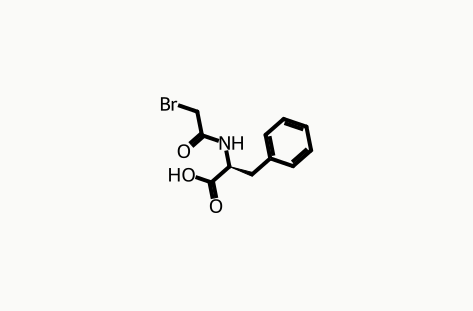 O=C(CBr)N[C@@H](Cc1ccccc1)C(=O)O